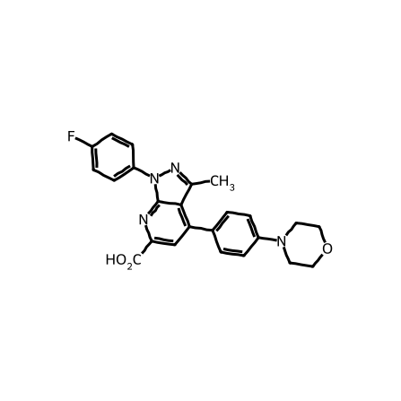 Cc1nn(-c2ccc(F)cc2)c2nc(C(=O)O)cc(-c3ccc(N4CCOCC4)cc3)c12